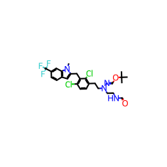 Cn1c(Cc2c(Cl)ccc(CCN(CCNC=O)N=COC(C)(C)C)c2Cl)cc2ccc(C(F)(F)F)cc21